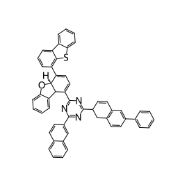 C1=CC(c2nc(C3=CC=C(c4cccc5c4sc4ccccc45)[C@H]4Oc5ccccc5C34)nc(-c3ccc4ccccc4c3)n2)Cc2ccc(-c3ccccc3)cc21